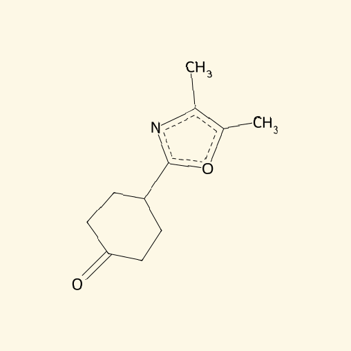 Cc1nc(C2CCC(=O)CC2)oc1C